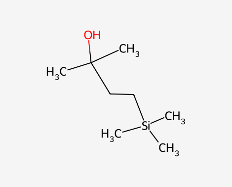 CC(C)(O)CC[Si](C)(C)C